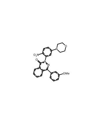 COc1cccc(-c2nn(-c3cc(N4CCOCC4)ccc3[N+](=O)[O-])c(=O)c3ccccc23)c1